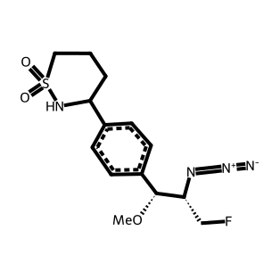 CO[C@H](c1ccc(C2CCCS(=O)(=O)N2)cc1)[C@@H](CF)N=[N+]=[N-]